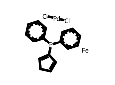 C1=CC(P(c2ccccc2)c2ccccc2)=CC1.[Cl][Pd][Cl].[Fe]